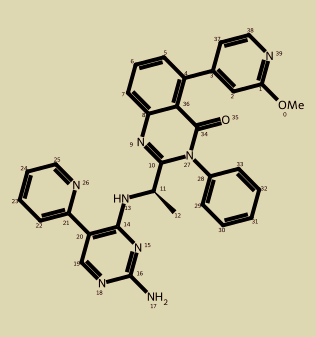 COc1cc(-c2cccc3nc([C@@H](C)Nc4nc(N)ncc4-c4ccccn4)n(-c4ccccc4)c(=O)c23)ccn1